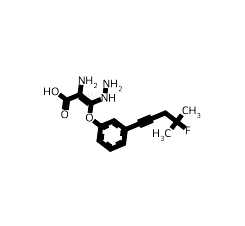 CC(C)(F)CC#Cc1cccc(O/C(NN)=C(/N)C(=O)O)c1